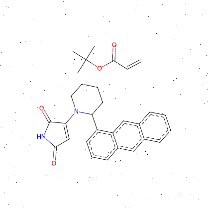 C=CC(=O)OC(C)(C)C.O=C1C=C(N2CCCCC2c2cccc3cc4ccccc4cc23)C(=O)N1